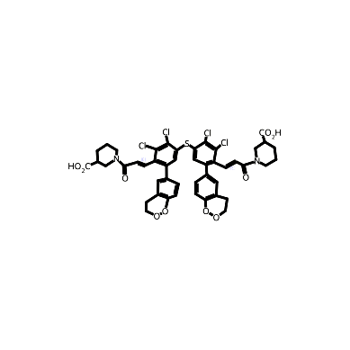 O=C(O)C1CCCN(C(=O)/C=C/c2c(-c3ccc4c(c3)CCOO4)cc(Sc3cc(-c4ccc5c(c4)CCOO5)c(/C=C/C(=O)N4CCCC(C(=O)O)C4)c(Cl)c3Cl)c(Cl)c2Cl)C1